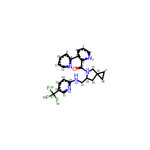 O=C(c1ncccc1-c1ccccn1)N1CC2(CC2)CC1CNc1ccc(C(F)(F)F)cn1